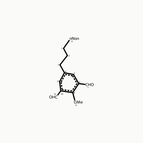 CCCCCCCCCCCCc1cc(C=O)c(OC)c(C=O)c1